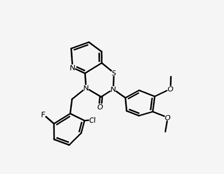 COc1ccc(N2Sc3cccnc3N(Cc3c(F)cccc3Cl)C2=O)cc1OC